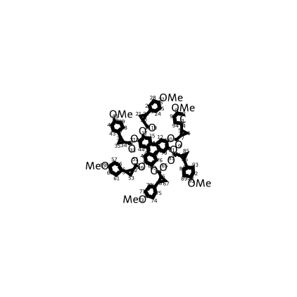 COc1ccc(C2CC2C(=O)Oc2cc3c4cc(OC(=O)C5CC5c5ccc(OC)cc5)c(OC(=O)C5CC5c5ccc(OC)cc5)cc4c4cc(OC(=O)C5CC5c5ccc(OC)cc5)c(OC(=O)C5CC5c5ccc(OC)cc5)cc4c3cc2OC(=O)C2CC2c2ccc(OC)cc2)cc1